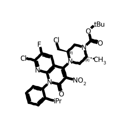 CC(C)c1ccccc1-n1c(=O)c([N+](=O)[O-])c(N2C[C@@H](C)N(C(=O)OC(C)(C)C)C[C@@H]2CCl)c2cc(F)c(Cl)nc21